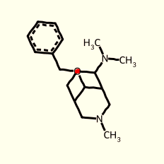 CN1CC2CCC(N(C)C)C(C1)C2OCc1ccccc1